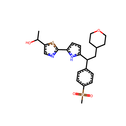 CC(O)c1cnc(-c2ccc(C(CC3CCOCC3)c3ccc(S(C)(=O)=O)cc3)[nH]2)s1